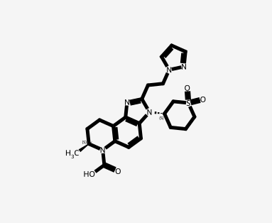 C[C@H]1CCc2c(ccc3c2nc(CCn2cccn2)n3[C@H]2CCCS(=O)(=O)C2)N1C(=O)O